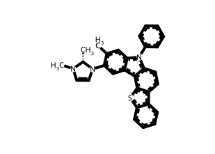 Cc1cc2c(cc1N1C=CN(C)[C@@H]1C)c1c3sc4ccccc4c3ccc1n2-c1ccccc1